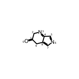 O=C1CN=C2C=NC=C2C1